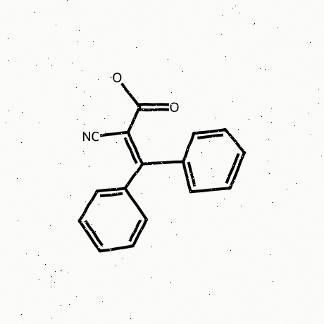 N#CC(C([O])=O)=C(c1ccccc1)c1ccccc1